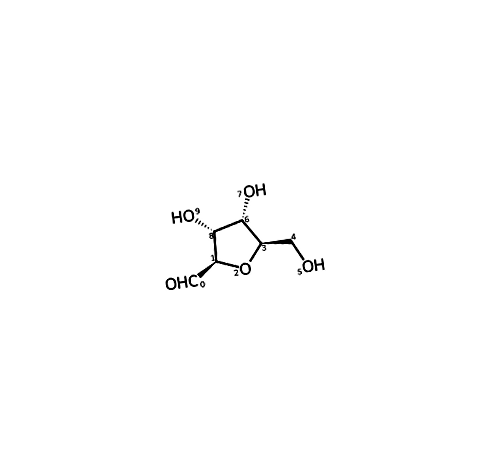 O=C[C@@H]1O[C@H](CO)[C@@H](O)[C@H]1O